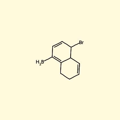 BC1=C2CCC=CC2C(Br)C=C1